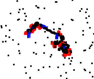 CC[C@H](C(=O)N1CCCC[C@H]1C(=O)O[C@H](CCc1ccc(OC)c(OC)c1)c1cccc(OCC(=O)NCCCCCCCCNC(=O)COc2cccc3c2C(=O)N(C2CCC(=O)NC2=O)C3=O)c1)c1cc(OC)c(OC)c(OC)c1